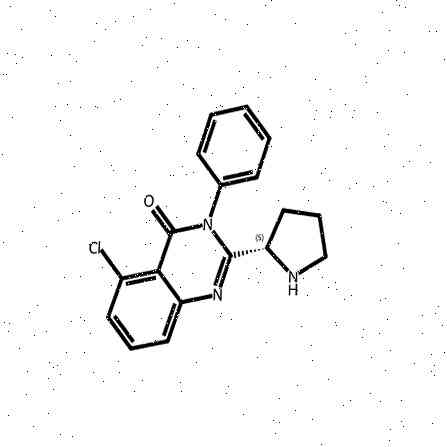 O=c1c2c(Cl)cccc2nc([C@@H]2CCCN2)n1-c1ccccc1